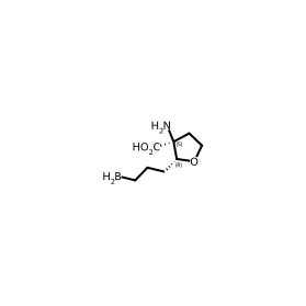 BCCC[C@H]1OCC[C@@]1(N)C(=O)O